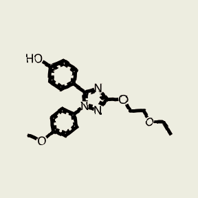 CCOCCOc1nc(-c2ccc(O)cc2)n(-c2ccc(OC)cc2)n1